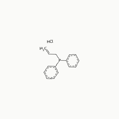 C=CCP(c1ccccc1)c1ccccc1.Cl